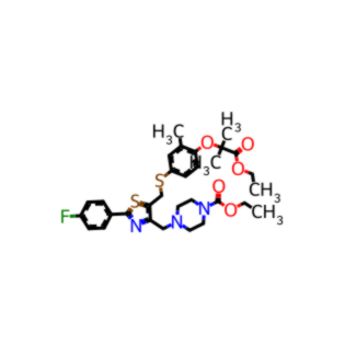 CCOC(=O)N1CCN(Cc2nc(-c3ccc(F)cc3)sc2CSc2ccc(OC(C)(C)C(=O)OCC)c(C)c2)CC1